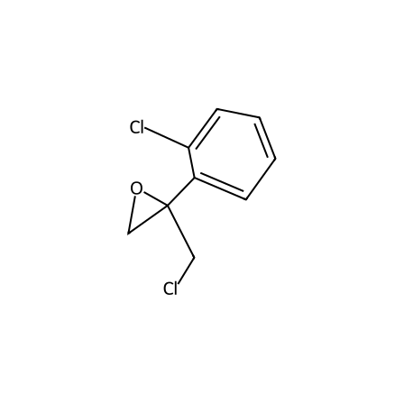 ClCC1(c2ccccc2Cl)CO1